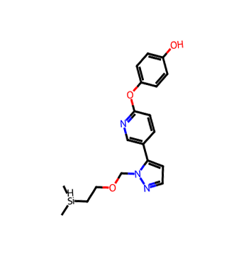 C[SiH](C)CCOCn1nccc1-c1ccc(Oc2ccc(O)cc2)nc1